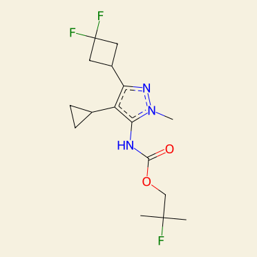 Cn1nc(C2CC(F)(F)C2)c(C2CC2)c1NC(=O)OCC(C)(C)F